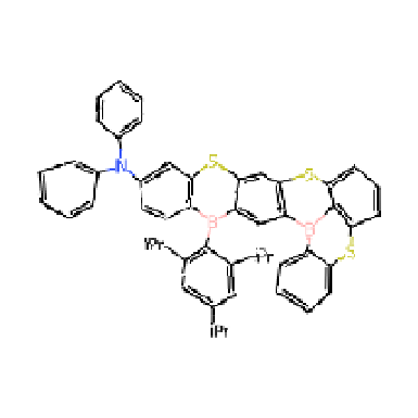 CC(C)c1cc(C(C)C)c(B2c3ccc(N(c4ccccc4)c4ccccc4)cc3Sc3cc4c(cc32)B2c3ccccc3Sc3cccc(c32)S4)c(C(C)C)c1